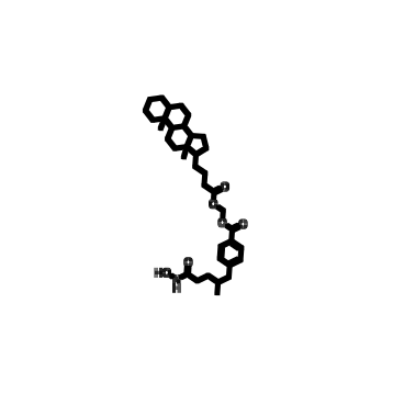 CC(CCC(=O)NO)Cc1ccc(C(=O)OCOC(=O)CCCC2CCC3C4CCC5CCCCC5(C)C4CCC23C)cc1